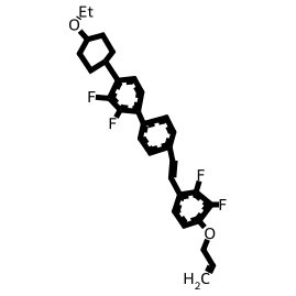 C=CCOc1ccc(/C=C/c2ccc(-c3ccc(C4CCC(OCC)CC4)c(F)c3F)cc2)c(F)c1F